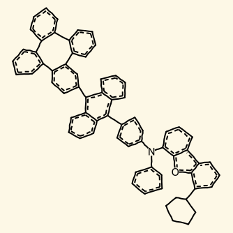 c1ccc(N(c2ccc(-c3c4ccccc4c(-c4ccc5c(c4)-c4ccccc4-c4ccccc4-c4ccccc4-5)c4ccccc34)cc2)c2cccc3c2oc2c(C4CCCCC4)cccc23)cc1